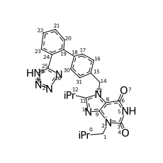 CC(C)Cn1c(=O)[nH]c(=O)c2c1nc(C(C)C)n2Cc1ccc(-c2ccccc2-c2nnn[nH]2)cc1